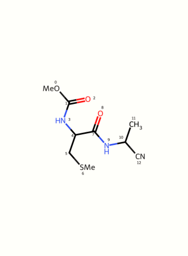 COC(=O)NC(CSC)C(=O)NC(C)C#N